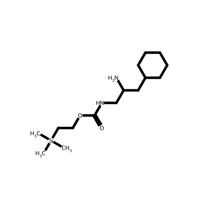 C[Si](C)(C)CCOC(=O)NCC(N)CC1CCCCC1